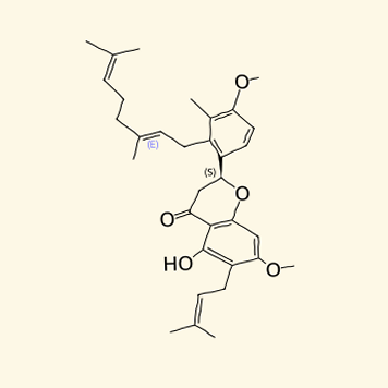 COc1ccc([C@@H]2CC(=O)c3c(cc(OC)c(CC=C(C)C)c3O)O2)c(C/C=C(\C)CCC=C(C)C)c1C